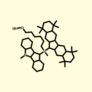 CN1C2CCCCC2C2C1C1CCCCC1C2[Si](C)(CCCCCCOC(C)(C)C)C1C2CC3C(CC2C2CC4C(CC21)C(C)(C)CCC4(C)C)C(C)(C)CCC3(C)C